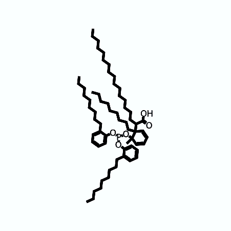 CCCCCCCCCCCCCCCCC(C(=O)O)C1(CCCCCCCCC)C=CC=CC1(C)OP(Oc1ccccc1CCCCCCCCC)Oc1ccccc1CCCCCCCCC